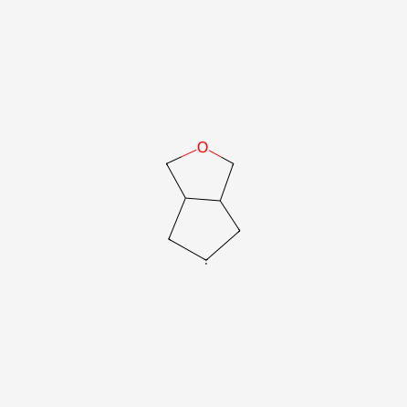 [CH]1CC2COCC2C1